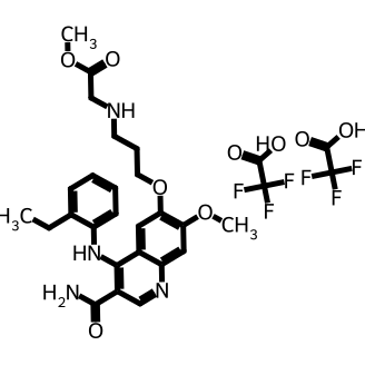 CCc1ccccc1Nc1c(C(N)=O)cnc2cc(OC)c(OCCCNCC(=O)OC)cc12.O=C(O)C(F)(F)F.O=C(O)C(F)(F)F